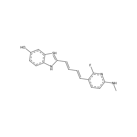 CNc1ccc(/C=C/C=C/C2=[SH]c3cc(O)ccc3N2)c(F)n1